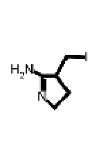 NC1=NCCC1CI